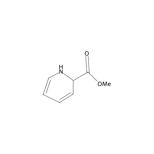 COC(=O)C1C=CC=CN1